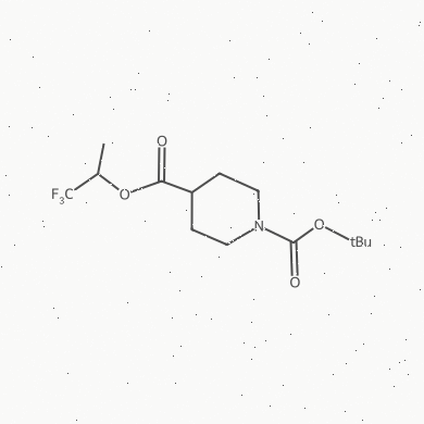 CC(OC(=O)C1CCN(C(=O)OC(C)(C)C)CC1)C(F)(F)F